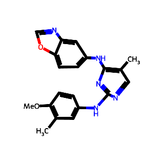 COc1ccc(Nc2ncc(C)c(Nc3ccc4ocnc4c3)n2)cc1C